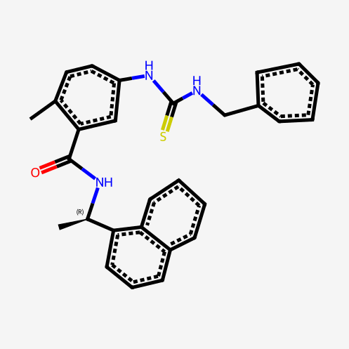 Cc1ccc(NC(=S)NCc2ccccc2)cc1C(=O)N[C@H](C)c1cccc2ccccc12